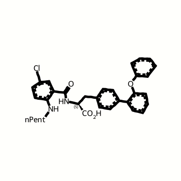 CCCCCNc1ccc(Cl)cc1C(=O)N[C@@H](Cc1ccc(-c2ccccc2Oc2ccccc2)cc1)C(=O)O